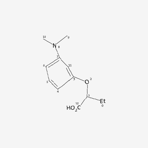 CCC(Oc1cccc(N(C)C)c1)C(=O)O